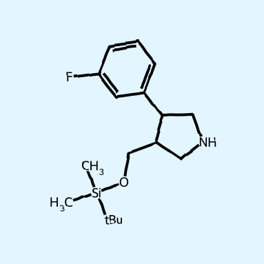 CC(C)(C)[Si](C)(C)OCC1CNCC1c1cccc(F)c1